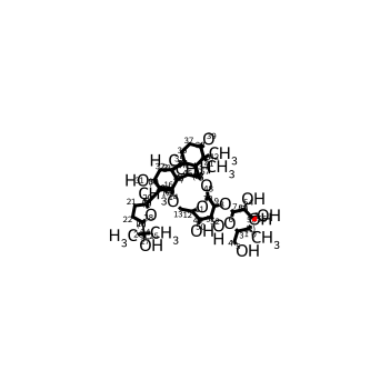 C[C@@H](O)C(CO)OC(OC1C2OC(CO[C@@]34CCC([C@]5(C)CC[C@H](C(C)(C)O)O5)C3[C@H](O)CC3[C@@]5(C)CCC(=O)C(C)(C)C5[C@H](C[C@]34C)O2)C(O)C1O)[C@H](O)CO